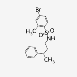 Cc1cc(Br)ccc1S(=O)(=O)NCCC(C)c1ccccc1